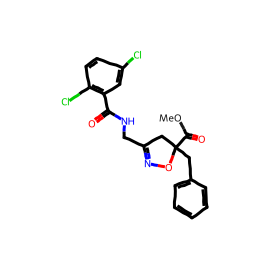 COC(=O)C1(Cc2ccccc2)CC(CNC(=O)c2cc(Cl)ccc2Cl)=NO1